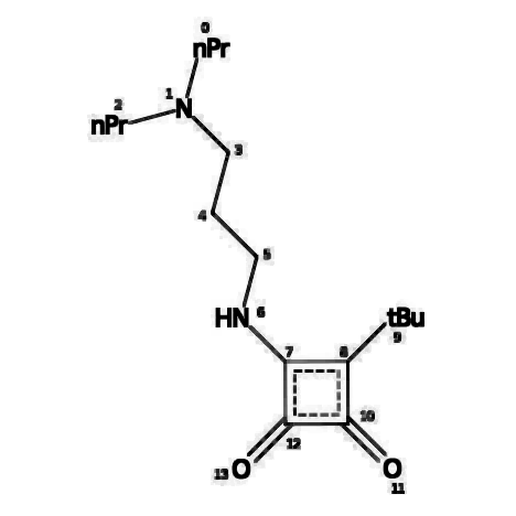 CCCN(CCC)CCCNc1c(C(C)(C)C)c(=O)c1=O